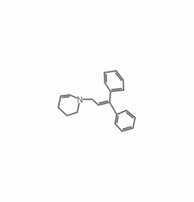 C1=CN(CC=C(c2ccccc2)c2ccccc2)CCC1